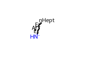 CCCCCCCCCCCC[NH-].C[CH2][Al+][CH2]C